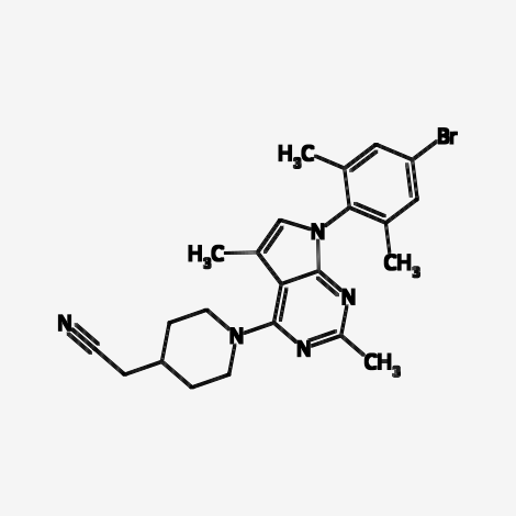 Cc1nc(N2CCC(CC#N)CC2)c2c(C)cn(-c3c(C)cc(Br)cc3C)c2n1